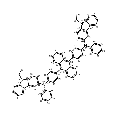 CCn1c2ccccc2c2cc(N(c3ccccc3)c3ccc(-c4c5ccccc5c(-c5ccc(N(c6ccccc6)c6ccc7c(c6)c6ccccc6n7CC)cc5)c5ccccc45)cc3)ccc21